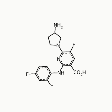 NC1CCN(c2nc(Nc3ccc(F)cc3F)c(C(=O)O)cc2F)C1